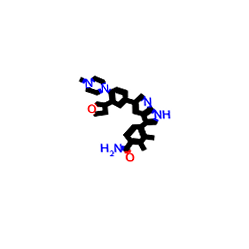 Cc1c(C(N)=O)ccc(-c2c[nH]c3ncc(-c4ccc(N5CCN(C)CC5)c(C5CCOC5)c4)cc23)c1C